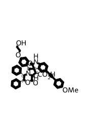 COc1ccc(C#Cc2ccc3c(c2)[C@]2(C(=O)N3)[C@H](C(=O)O)[C@H]3C(=O)O[C@H](c4ccccc4)[C@H](c4ccccc4)N3[C@@H]2c2ccc(OCCO)cc2)cc1